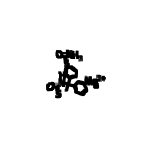 CC(NC([O-])=S)(c1ccccc1)c1ccccc1.NC([O-])=S.[Mg+2]